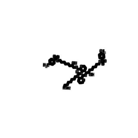 CCCCCCCCCCCCCCCCCN(C(=O)OC1CCCOC1COCC(O)CCCCCCOS(=O)(=O)c1ccc(C)cc1)C1CCCOC1COCC(O)CCCCCCOS(=O)(=O)c1ccc(C)cc1